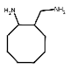 NCC1CCCCCCC1N